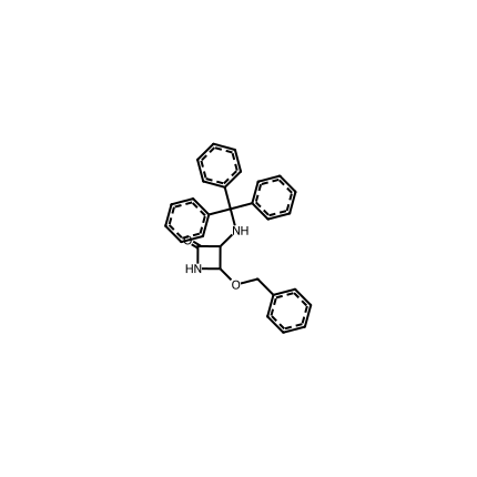 O=C1NC(OCc2ccccc2)C1NC(c1ccccc1)(c1ccccc1)c1ccccc1